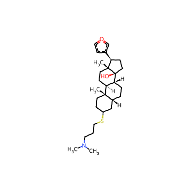 CN(C)CCCS[C@H]1CC[C@@]2(C)[C@H](CC[C@@H]3[C@@H]2CC[C@]2(C)[C@@H](c4ccoc4)CC[C@]32O)C1